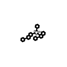 c1ccc(C2=NC(c3ccc4cc(-c5ccccc5)ccc4c3)=NC(c3c(-c4ccccc4)ccc4ccccc34)N2)cc1